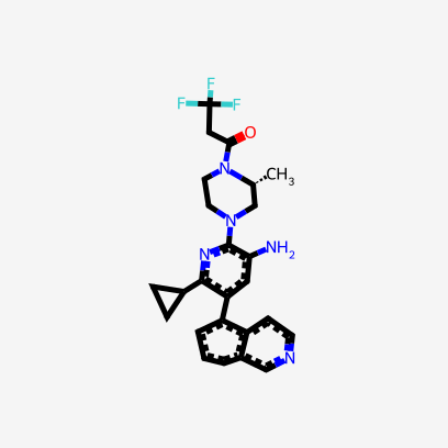 C[C@@H]1CN(c2nc(C3CC3)c(-c3cccc4cnccc34)cc2N)CCN1C(=O)CC(F)(F)F